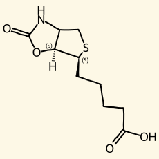 O=C(O)CCCC[C@@H]1SCC2NC(=O)O[C@@H]21